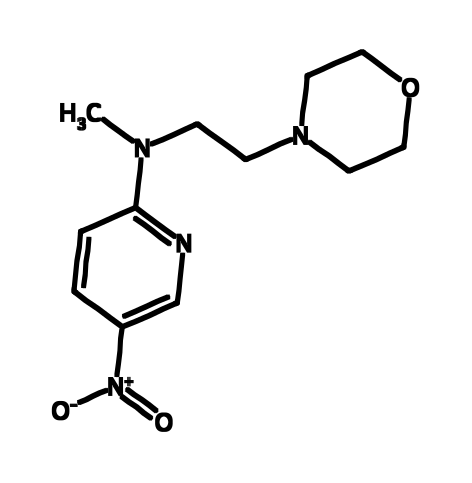 CN(CCN1CCOCC1)c1ccc([N+](=O)[O-])cn1